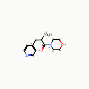 O=C(C(Cc1ccncc1)S(=O)(=O)O)N1CCOCC1